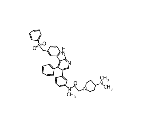 CN(C(=O)CN1CCC(N(C)C)CC1)c1cccc(-c2cnc3[nH]c4ccc(CS(=O)(=O)c5ccccc5)cc4c3c2-c2ccccc2)c1